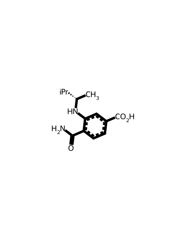 CC(C)[C@H](C)Nc1cc(C(=O)O)ccc1C(N)=O